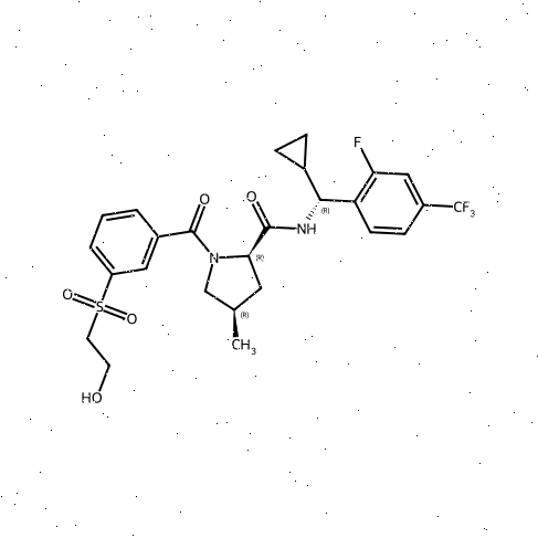 C[C@@H]1C[C@H](C(=O)N[C@@H](c2ccc(C(F)(F)F)cc2F)C2CC2)N(C(=O)c2cccc(S(=O)(=O)CCO)c2)C1